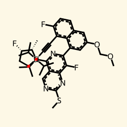 COCOc1cc(-c2nc(N3CC[C@H](F)[C@@H]3C)c3cnc(SC)nc3c2F)c2c(C#C[Si](C(C)C)(C(C)C)C(C)C)c(F)ccc2c1